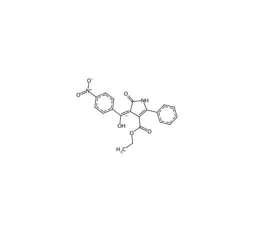 CCOC(=O)C1=C(c2ccccc2)NC(=O)/C1=C(/O)c1ccc([N+](=O)[O-])cc1